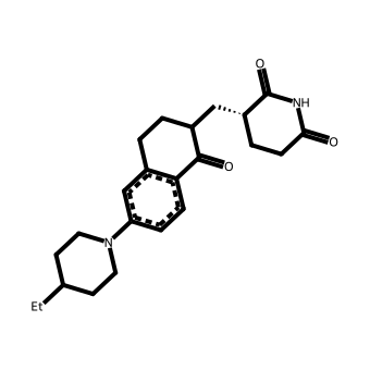 CCC1CCN(c2ccc3c(c2)CCC(C[C@H]2CCC(=O)NC2=O)C3=O)CC1